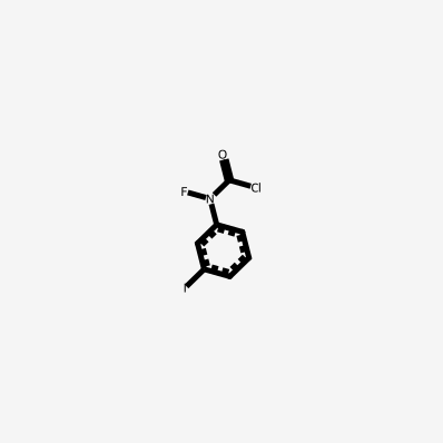 O=C(Cl)N(F)c1cccc(I)c1